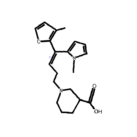 Cc1ccoc1/C(=C/CCN1CCCC(C(=O)O)C1)c1cccn1C